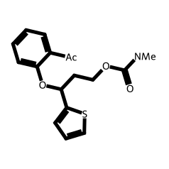 CNC(=O)OCCC(Oc1ccccc1C(C)=O)c1cccs1